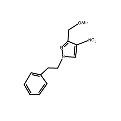 COCc1nn(CCc2ccccc2)cc1[N+](=O)[O-]